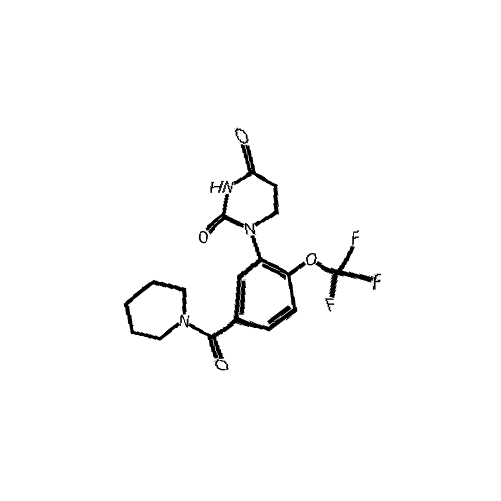 O=C1CCN(c2cc(C(=O)N3CCCCC3)ccc2OC(F)(F)F)C(=O)N1